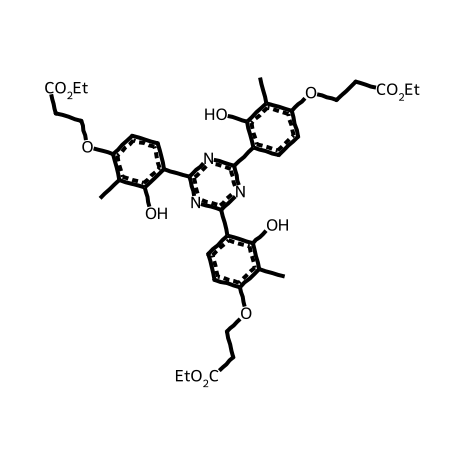 CCOC(=O)CCOc1ccc(-c2nc(-c3ccc(OCCC(=O)OCC)c(C)c3O)nc(-c3ccc(OCCC(=O)OCC)c(C)c3O)n2)c(O)c1C